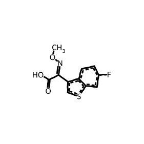 CON=C(C(=O)O)c1csc2cc(F)ccc12